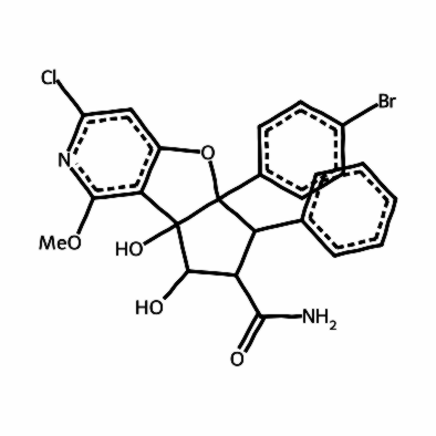 COc1nc(Cl)cc2c1C1(O)C(O)C(C(N)=O)C(c3ccccc3)C1(c1ccc(Br)cc1)O2